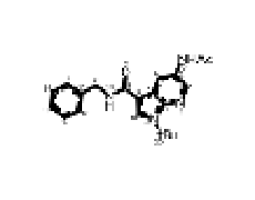 CC(=O)Nc1cnc2c(c1)c(C(=O)NCc1ccccc1)cn2C(C)(C)C